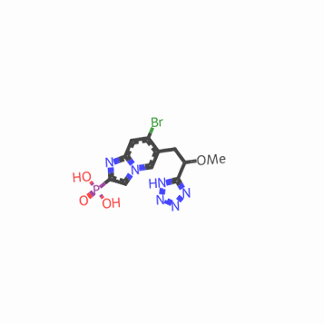 COC(Cc1cn2cc(P(=O)(O)O)nc2cc1Br)c1nnn[nH]1